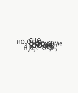 COC(=O)C(C)(C)C(=O)NC1CCC2(C)C(CCC3(C)C2C(=O)C=C2C4CC(C)(C(=O)O)CCC4(C)CCC23C)C1(C)C